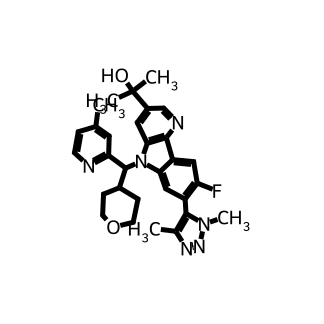 Cc1ccnc(C(C2CCOCC2)n2c3cc(-c4c(C)nnn4C)c(F)cc3c3ncc(C(C)(C)O)cc32)c1